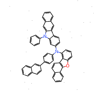 c1ccc(-n2c3cc(N(c4ccc(-c5ccc6ccccc6c5)cc4)c4cccc5oc6c7ccccc7ccc6c45)ccc3c3cc4ccccc4cc32)cc1